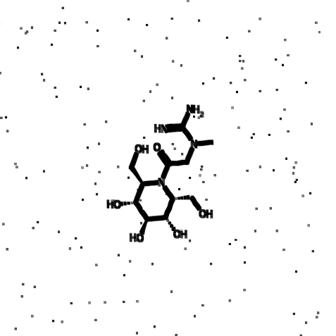 CN(CC(=O)N1[C@H](CO)[C@H](O)[C@@H](O)[C@H](O)[C@H]1CO)C(=N)N